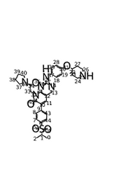 CC(C)S(=O)(=O)c1ccc(-c2cc3cnc(Nc4ccc(OC5CCNCC5)cc4)nc3n(CC(=O)N3CCCC3)c2=O)cc1